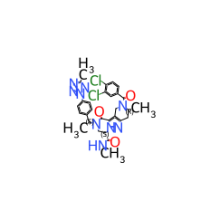 CNC(=O)[C@@H]1CN([C@@H](C)c2ccc(-n3nnc(C)n3)cc2)C(=O)c2c3c(nn21)C[C@@H](C)N(C(=O)c1ccc(Cl)c(Cl)c1)C3